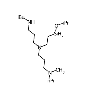 CCCN(C)CCCN(CCCNC(C)CC)CC[SiH2]OC(C)C